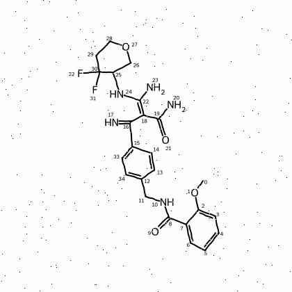 COc1ccccc1C(=O)NCc1ccc(C(=N)/C(C(N)=O)=C(/N)NC2COCCC2(F)F)cc1